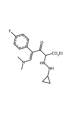 CCOC(=O)C(NNC1CC1)C(=O)C(=CN(C)C)c1ccc(F)cc1